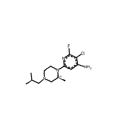 CC(C)CN1CCN(c2cc(N)c(Cl)c(F)n2)[C@@H](C)C1